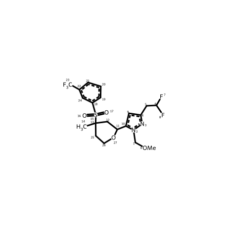 COCn1nc(CC(F)F)cc1C1CC(C)(S(=O)(=O)c2cccc(C(F)(F)F)c2)CCO1